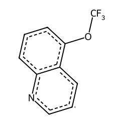 FC(F)(F)Oc1cccc2nc[c]cc12